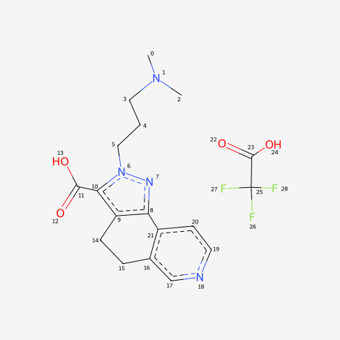 CN(C)CCCn1nc2c(c1C(=O)O)CCc1cnccc1-2.O=C(O)C(F)(F)F